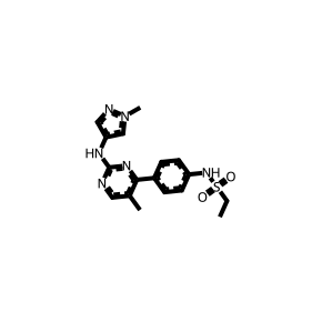 CCS(=O)(=O)Nc1ccc(-c2nc(Nc3cnn(C)c3)ncc2C)cc1